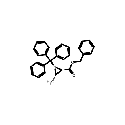 C[C@H]1[C@H](C(=O)OCc2ccccc2)N1C(c1ccccc1)(c1ccccc1)c1ccccc1